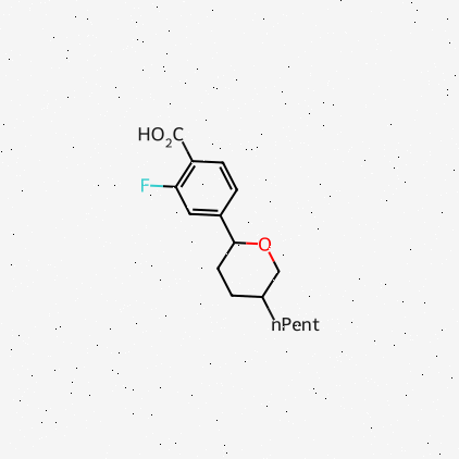 CCCCCC1CCC(c2ccc(C(=O)O)c(F)c2)OC1